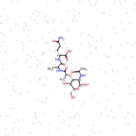 CC(=O)N[C@@H]1[C@@H](OC(C)C(=O)N[C@@H](C)C(=O)N[C@H](CCC(N)=O)C(=O)O)[C@H](O)[C@@H](CO)O[C@@H]1O